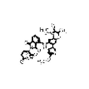 COc1ccc(-c2cc3c(cc2Nc2cccc4c2C(=O)N([C@H]2CCC(=O)NC2=O)C4=O)N(C)C(=O)[C@@H](C)O3)cn1